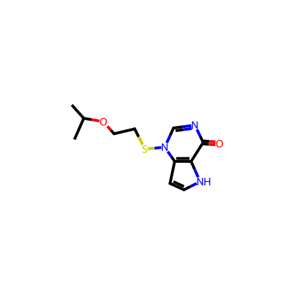 CC(C)OCCSn1cnc(=O)c2[nH]ccc21